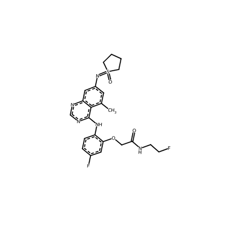 Cc1cc(N=S2(=O)CCCC2)cc2ncnc(Nc3ccc(F)cc3OCC(=O)NCCF)c12